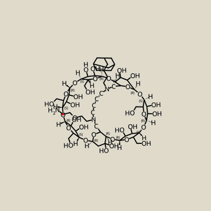 NCCOCCN1CCCCN(CCC23CC4CC(CC(C4)C2)C3)CC2O[C@@H]3O[C@@H]4C(CO)O[C@H](O[C@@H]5C(CO)O[C@H](O[C@@H]6C(C1)O[C@@H](CC6(O)O)O[C@@H]1C(CO)O[C@H](O[C@@H]6C(CO)O[C@H](O[C@H]7C(O)C(O)[C@@H](O[C@H]2C(O)C3O)O[C@@H]7CO)C(O)C6O)C(O)C1O)C(O)C5O)C(O)C4O